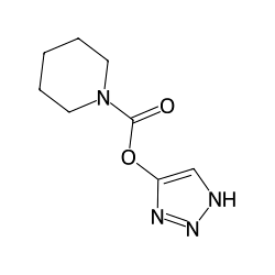 O=C(Oc1c[nH]nn1)N1CCCCC1